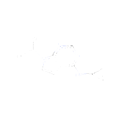 CC(C)n1ccc2c(NC3CC3)ncnc21